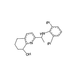 CC(C)c1cccc(C(C)C)c1NC(C)c1ccc2c(n1)C(O)CCC2